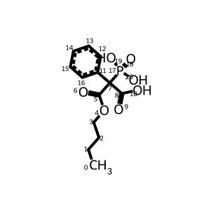 CCCCOC(=O)C(C(=O)O)(c1ccccc1)P(=O)(O)O